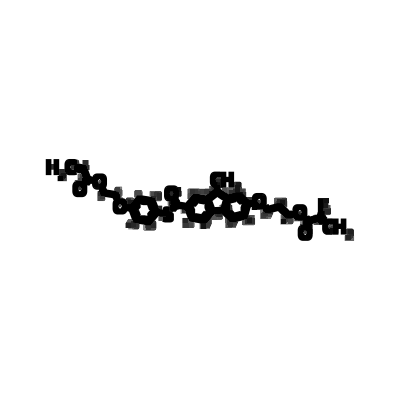 C=CC(=O)OCCOc1ccc(SC(=O)c2ccc3c(c2)C(C)c2cc(OCCCOC(=O)C(=C)F)ccc2-3)cc1